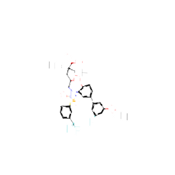 COc1cc(F)cc(-c2ccc3c(c2)N(S(=O)(=O)c2cccc(C(F)(F)F)c2)CC(CC(C)(C)C(=O)O)O3)c1